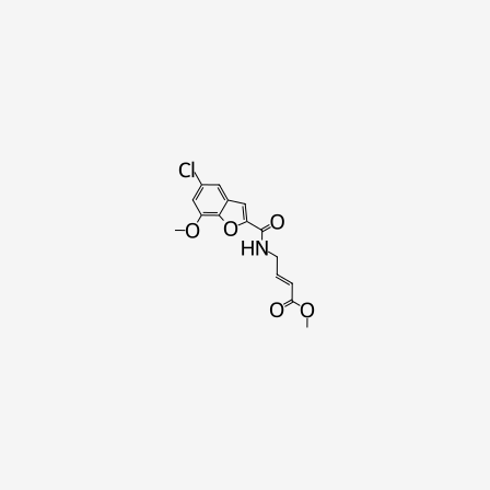 COC(=O)/C=C/CNC(=O)c1cc2cc(Cl)cc(OC)c2o1